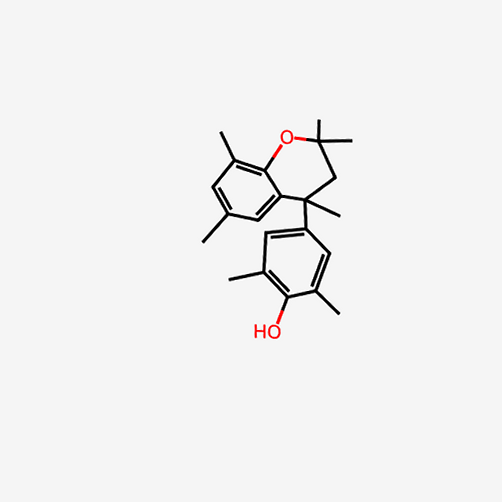 Cc1cc(C)c2c(c1)C(C)(c1cc(C)c(O)c(C)c1)CC(C)(C)O2